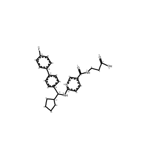 O=C(O)CCNC(=O)c1ccc(NC(c2ccc(-c3ccc(F)cc3)cc2)C2CCCC2)nc1